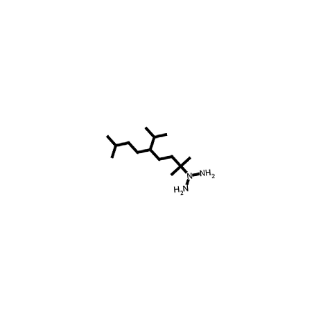 CC(C)CCC(CCC(C)(C)N(N)N)C(C)C